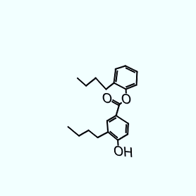 CCCCc1cc(C(=O)Oc2ccccc2CCCC)ccc1O